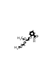 CCOC(CCOc1ccccc1C(=O)O)COCCOC